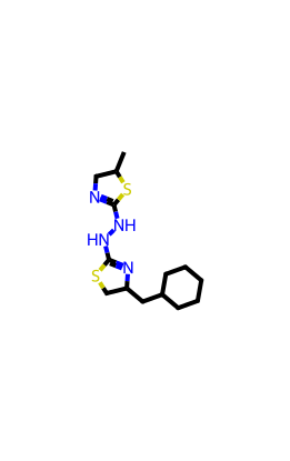 CC1CN=C(NNC2=NC(CC3CCCCC3)CS2)S1